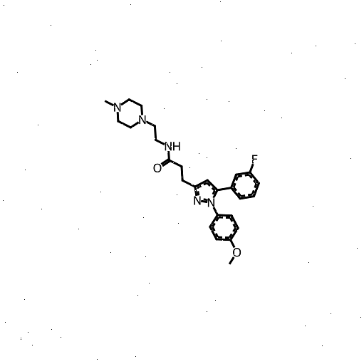 COc1ccc(-n2nc(CCC(=O)NCCN3CCN(C)CC3)cc2-c2cccc(F)c2)cc1